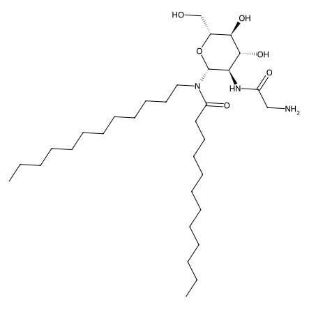 CCCCCCCCCCCCN(C(=O)CCCCCCCCCCC)[C@@H]1O[C@H](CO)[C@@H](O)[C@H](O)[C@H]1NC(=O)CN